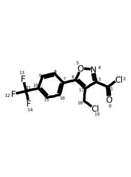 O=C(Cl)c1noc(-c2ccc(C(F)(F)F)cc2)c1CCl